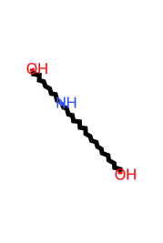 OCCCCCCCCCCCCCCCCCCCCNCCCCCCCCCO